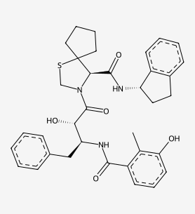 Cc1c(O)cccc1C(=O)N[C@@H](Cc1ccccc1)[C@H](O)C(=O)N1CSC2(CCCC2)[C@H]1C(=O)N[C@H]1CCc2ccccc21